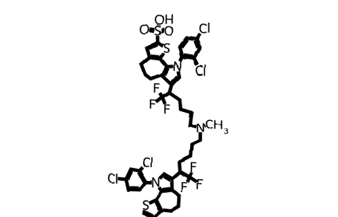 CN(CCCCC(c1cn(-c2ccc(Cl)cc2Cl)c2c1CCCc1ccsc1-2)C(F)(F)F)CCCCC(c1cn(-c2ccc(Cl)cc2Cl)c2c1CCCc1cc(S(=O)(=O)O)sc1-2)C(F)(F)F